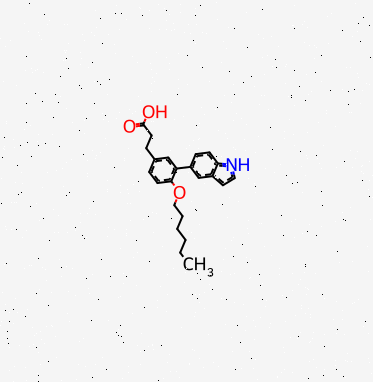 CCCCCCOc1ccc(CCC(=O)O)cc1-c1ccc2[nH]ccc2c1